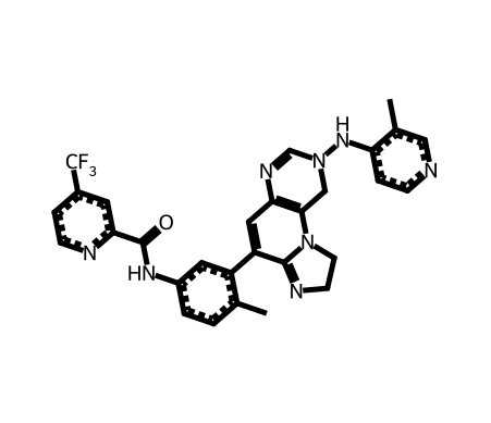 Cc1cnccc1NN1C=NC2=C(C1)N1CCN=C1C(c1cc(NC(=O)c3cc(C(F)(F)F)ccn3)ccc1C)=C2